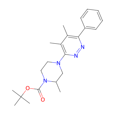 Cc1c(-c2ccccc2)nnc(N2CCN(C(=O)OC(C)(C)C)C(C)C2)c1C